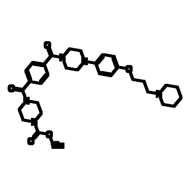 CC(C)(C)OC(=O)N1CCN(C(=O)c2ccc(C(=O)N3CCN(c4ccc(OCCCN5CCCCC5)cc4)CC3)cc2)CC1